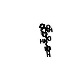 O=C(NCCc1cc[nH]n1)c1ccc2c(c1)NC(=O)c1ccccc1S2